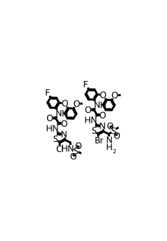 COc1ccccc1Oc1cc(F)ccc1NC(=O)C(=O)Nc1nc(C(N)S(C)(=O)=O)c(Br)s1.COc1ccccc1Oc1cc(F)ccc1NC(=O)C(=O)Nc1nc(CNS(C)(=O)=O)c(Cl)s1